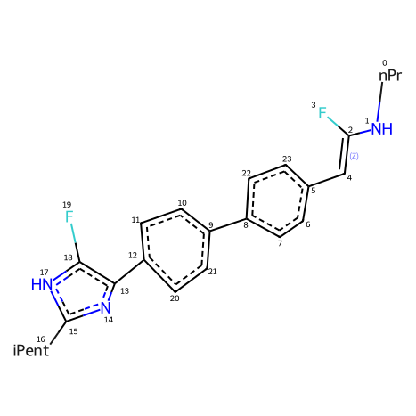 CCCN/C(F)=C/c1ccc(-c2ccc(-c3nc(C(C)CCC)[nH]c3F)cc2)cc1